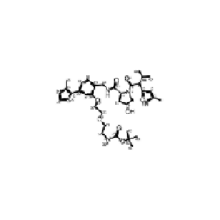 Cc1cc([C@@H](C(=O)N2C[C@H](O)C[C@H]2C(=O)NCc2ccc(-c3scnc3C)cc2OCCOCCN(C)C(=O)OC(C)(C)C)C(C)C)on1